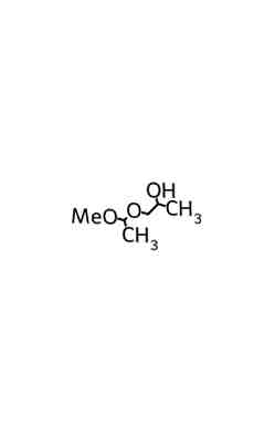 COC(C)OCC(C)O